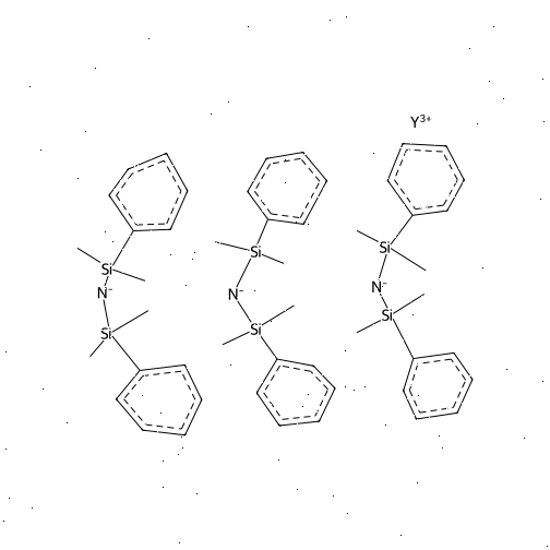 C[Si](C)([N-][Si](C)(C)c1ccccc1)c1ccccc1.C[Si](C)([N-][Si](C)(C)c1ccccc1)c1ccccc1.C[Si](C)([N-][Si](C)(C)c1ccccc1)c1ccccc1.[Y+3]